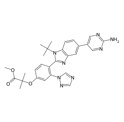 COC(=O)C(C)(C)Oc1ccc(-c2nc3cc(-c4cnc(N)nc4)ccc3n2C(C)(C)C)c(-n2cncn2)c1